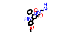 CCOc1ccc2[nH]c3c(c2c1)C[C@@]1(C)C(=O)N(CCNC)C(=O)N1[C@@H]3C1=CC=CCC1